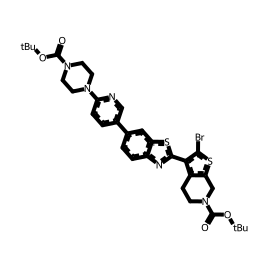 CC(C)(C)OC(=O)N1CCN(c2ccc(-c3ccc4nc(-c5c(Br)sc6c5CCN(C(=O)OC(C)(C)C)C6)sc4c3)cn2)CC1